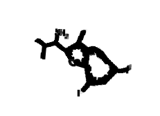 Cc1c(C(N)C(C)C)oc2c(F)cc(F)cc12